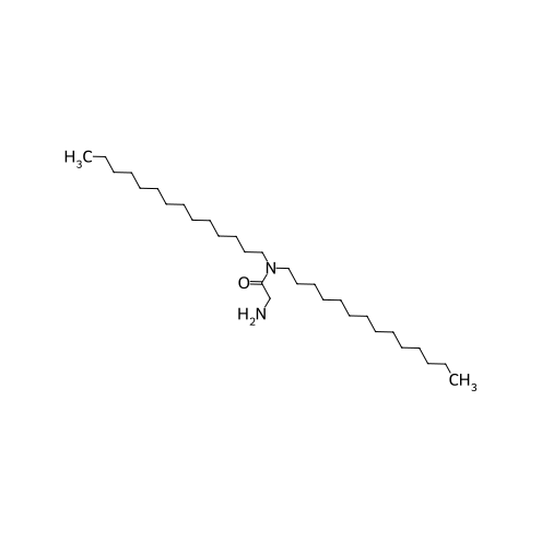 CCCCCCCCCCCCCCN(CCCCCCCCCCCCCC)C(=O)CN